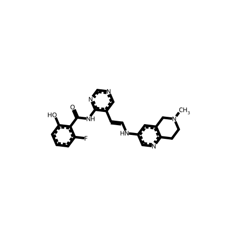 CN1CCc2ncc(NC=Cc3cncnc3NC(=O)c3c(O)cccc3F)cc2C1